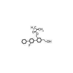 C=C(C)C(=O)OCc1cc(CCO)ccc1-c1ccc(-c2ccccc2)c(F)c1